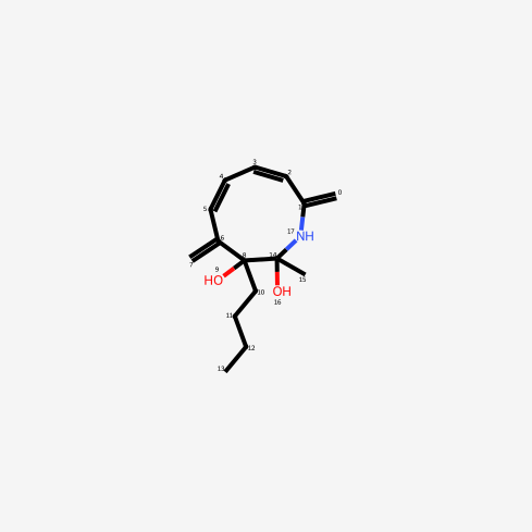 C=C1/C=C\C=C/C(=C)C(O)(CCCC)C(C)(O)N1